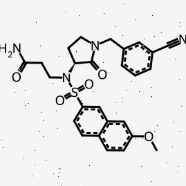 COc1ccc2ccc(S(=O)(=O)N(CCC(N)=O)[C@H]3CCN(Cc4cccc(C#N)c4)C3=O)cc2c1